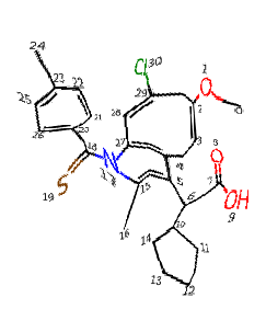 COc1cc2c(C(C(=O)O)C3CCCC3)c(C)n(C(=S)c3ccc(C)cc3)c2cc1Cl